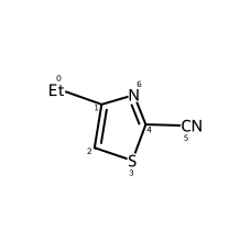 [CH2]Cc1csc(C#N)n1